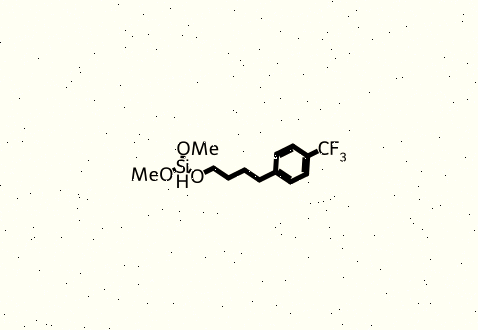 CO[SiH](OC)OCCCCc1ccc(C(F)(F)F)cc1